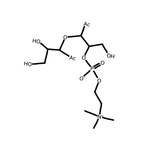 CC(=O)C(OC(C(C)=O)C(CO)OP(=O)([O-])OCC[N+](C)(C)C)C(O)CO